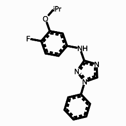 CC(C)Oc1cc(Nc2ncn(-c3ccccc3)n2)ccc1F